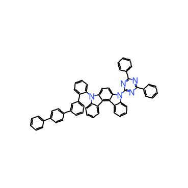 c1ccc(-c2ccc(-c3cccc(-c4ccccc4-n4c5ccccc5c5c6c7ccccc7n(-c7nc(-c8ccccc8)nc(-c8ccccc8)n7)c6ccc54)c3)cc2)cc1